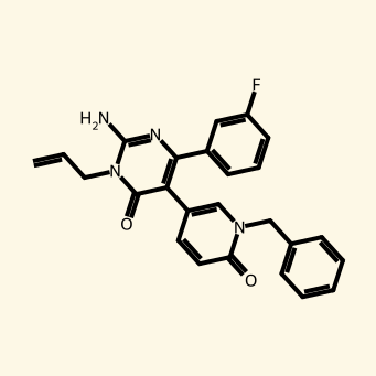 C=CCn1c(N)nc(-c2cccc(F)c2)c(-c2ccc(=O)n(Cc3ccccc3)c2)c1=O